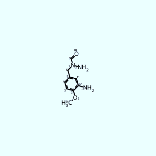 COc1ccc(CN(N)C=O)cc1N